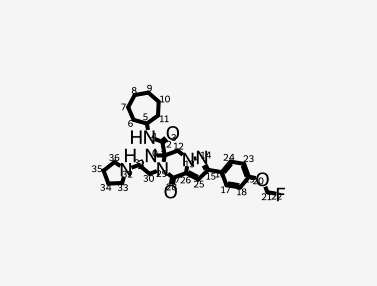 NC1(C(=O)NC2CCCCCC2)Cn2nc(-c3ccc(OCF)cc3)cc2C(=O)N1CCN1CCCC1